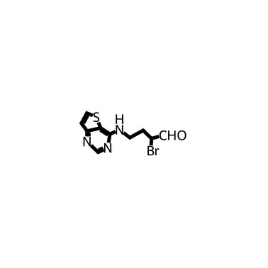 O=CC(Br)CCNc1ncnc2ccsc12